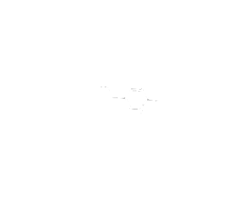 O=C(O)CCc1cnc(Cl)nc1